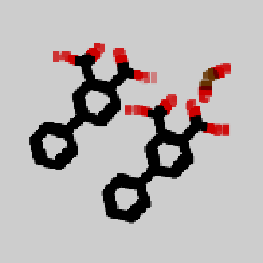 O=C(O)c1ccc(-c2ccccc2)cc1C(=O)O.O=C(O)c1ccc(-c2ccccc2)cc1C(=O)O.O=S=O